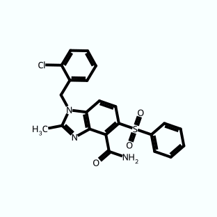 Cc1nc2c(C(N)=O)c(S(=O)(=O)c3ccccc3)ccc2n1Cc1ccccc1Cl